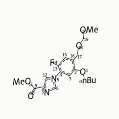 CCCCOc1cc(-n2cnc(C(=O)OC)c2)c(F)cc1COCOC